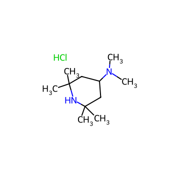 CN(C)C1CC(C)(C)NC(C)(C)C1.Cl